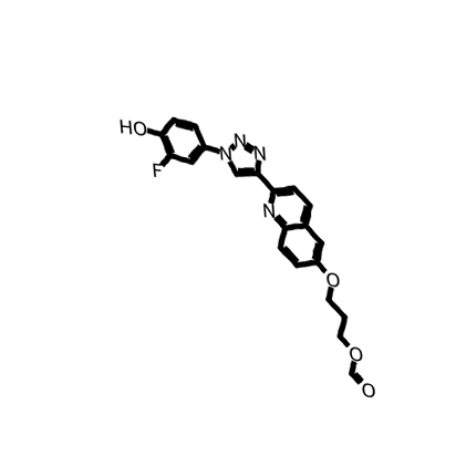 O=COCCCOc1ccc2nc(-c3cn(-c4ccc(O)c(F)c4)nn3)ccc2c1